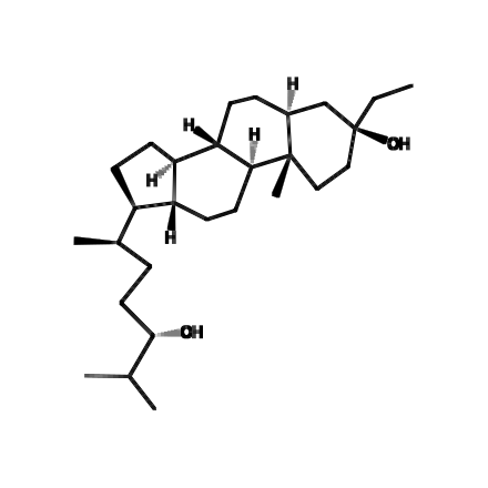 CC[C@]1(O)CC[C@@]2(C)[C@@H](CC[C@H]3[C@@H]4CC[C@H]([C@H](C)CC[C@H](O)C(C)C)[C@H]4CC[C@@H]32)C1